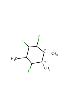 CC1C(F)C(F)[C@H](C)[C@H](C)C1F